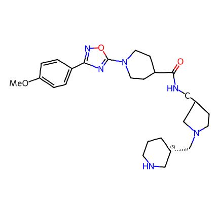 COc1ccc(-c2noc(N3CCC(C(=O)NCC4CCN(C[C@H]5CCCNC5)C4)CC3)n2)cc1